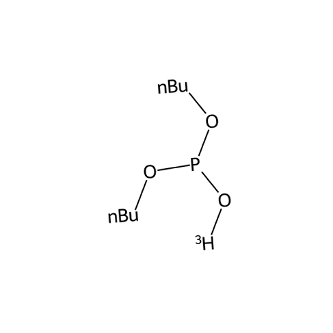 [3H]OP(OCCCC)OCCCC